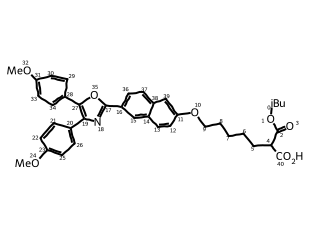 CCC(C)OC(=O)C(CCCCCOc1ccc2cc(-c3nc(-c4ccc(OC)cc4)c(-c4ccc(OC)cc4)o3)ccc2c1)C(=O)O